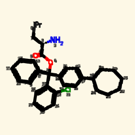 CC(C)C[C@H](N)C(=O)OC(c1ccccc1)(c1ccc(C2CCCCCC2)cc1)c1ccccc1Cl